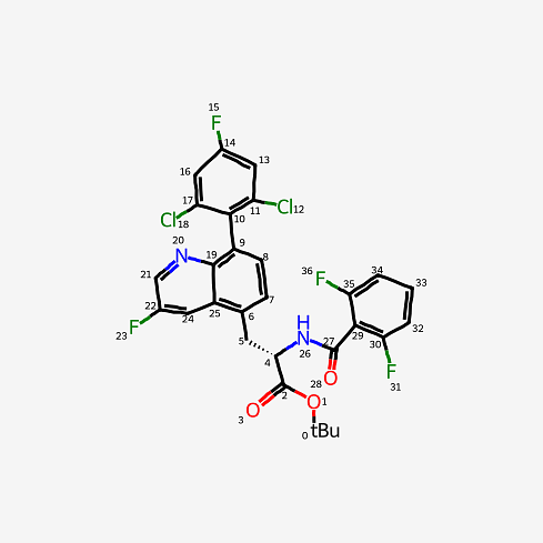 CC(C)(C)OC(=O)[C@H](Cc1ccc(-c2c(Cl)cc(F)cc2Cl)c2ncc(F)cc12)NC(=O)c1c(F)cccc1F